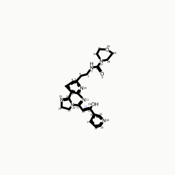 O=C(NCCc1ccc2c(n1)N=C(/C=C(\O)c1cccnc1)N1CCN=C21)N1CCOCC1